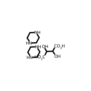 C1CNCCN1.C1CNCCN1.O=C(O)C(O)C(O)C(=O)O